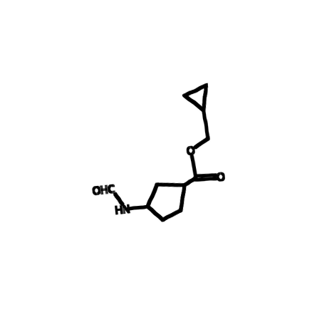 O=CNC1CCC(C(=O)OCC2CC2)C1